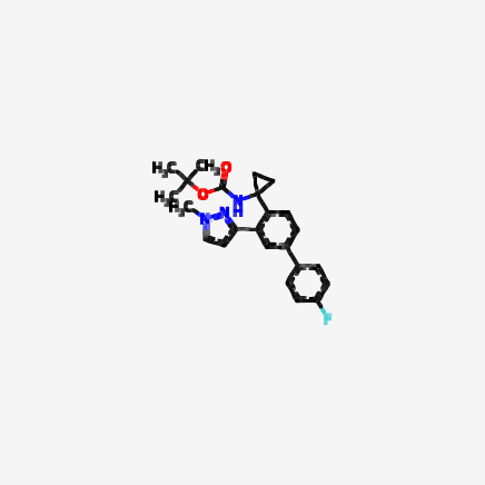 Cn1ccc(-c2cc(-c3ccc(F)cc3)ccc2C2(NC(=O)OC(C)(C)C)CC2)n1